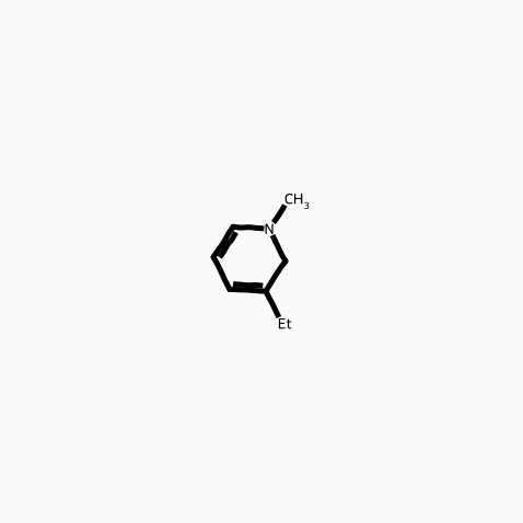 CCC1=CC=CN(C)C1